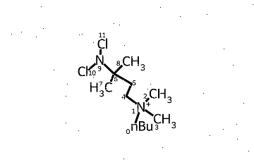 CCCC[N+](C)(C)CCC(C)(C)N(Cl)Cl